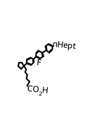 CCCCCCCc1ccc(-c2ccc(-c3ccc(C4(CCCCCCC(=O)O)CCCC4)cc3)c(F)c2)cc1